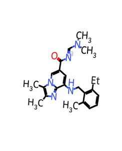 CCc1cccc(C)c1CNc1cc(C(=O)/N=C/N(C)C)cn2c(C)c(C)nc12